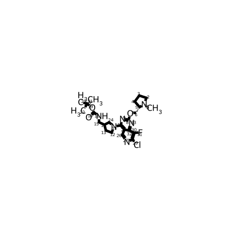 CN1CCC[C@H]1COc1nc(N2CCC(CNC(=O)OC(C)(C)C)C2)c2cnc(Cl)c(F)c2n1